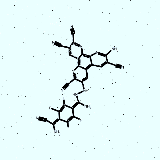 N#CC(N)=c1c(F)c(F)c(=C(N)NNc2cc3c4cc(C#N)c(N)nc4c4nc(C#N)c(C#N)cc4c3nc2C#N)c(F)c1F